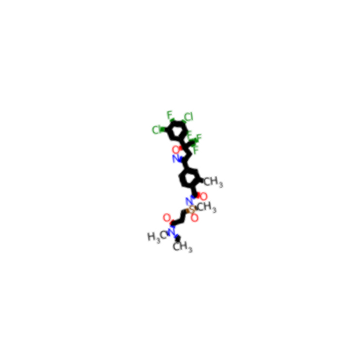 CCN(C)C(=O)CCS(C)(=O)=NC(=O)c1ccc(C2=NOC(c3cc(Cl)c(F)c(Cl)c3)(C(F)(F)F)C2)cc1C